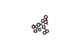 Cc1cccc(C)c1-c1cc(-c2cccc3ccccc23)ccc1N(c1ccc2c(c1)C(C)(C)c1ccccc1-2)c1ccc2c(c1)C(c1ccccc1)(c1ccccc1)c1ccccc1-2